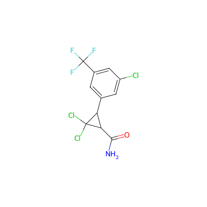 NC(=O)C1C(c2cc(Cl)cc(C(F)(F)F)c2)C1(Cl)Cl